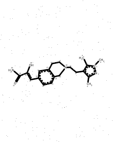 Cc1nn(C)c(C)c1CCN1CCc2cc(C=C(O)C(N)=O)ccc2C1